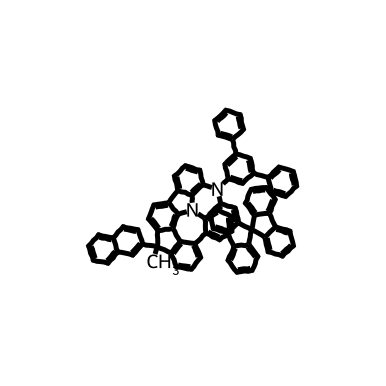 CC1(c2ccc3ccccc3c2)c2cccc3c2-c2c1ccc1c4cccc(N(c5cc(-c6ccccc6)cc(-c6ccccc6)c5)c5ccc6c(c5)C5(c7ccccc7-c7ccccc75)c5ccccc5-6)c4n(c21)-c1ccccc1-3